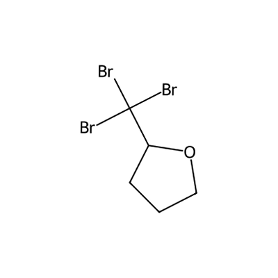 BrC(Br)(Br)C1CCCO1